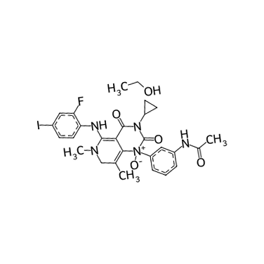 CC(=O)Nc1cccc([N+]2([O-])C(=O)N(C3CC3)C(=O)C3=C(Nc4ccc(I)cc4F)N(C)CC(C)=C32)c1.CCO